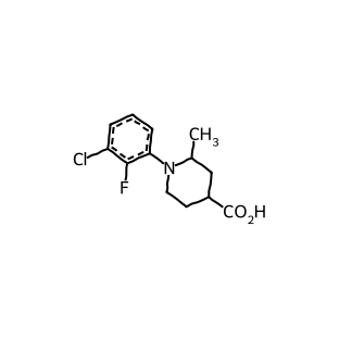 CC1CC(C(=O)O)CCN1c1cccc(Cl)c1F